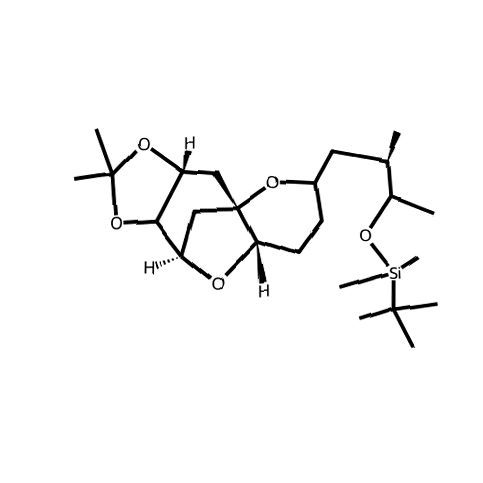 CC(O[Si](C)(C)C(C)(C)C)[C@H](C)CC1CC[C@@H]2O[C@@H]3C[C@]2(C[C@H]2OC(C)(C)OC32)O1